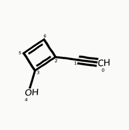 C#CC1=C(O)C=C1